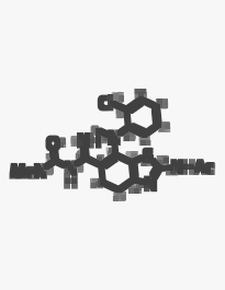 CNC(=O)NC(=N)C1=C(N(C)c2ccccc2Cl)c2sc(NC(C)=O)nc2CC1